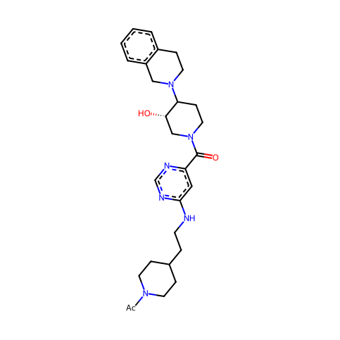 CC(=O)N1CCC(CCNc2cc(C(=O)N3CCC(N4CCc5ccccc5C4)[C@@H](O)C3)ncn2)CC1